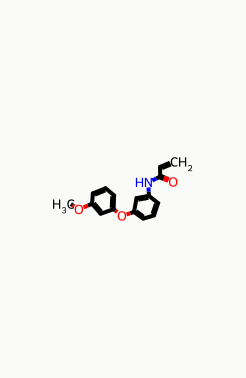 C=CC(=O)Nc1cccc(Oc2cccc(OC)c2)c1